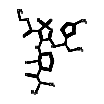 CCOC(=O)C1=C(Nc2cccc(C(=O)N(C)C)c2O)C(N[C@H](CC)c2ccc(C)o2)=NS1(=O)=O